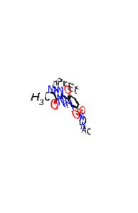 CCCc1nc(C)c2c(=O)[nH]c(-c3cc(S(=O)(=O)N4CCN(C(C)=O)CC4)ccc3OCC)nn12